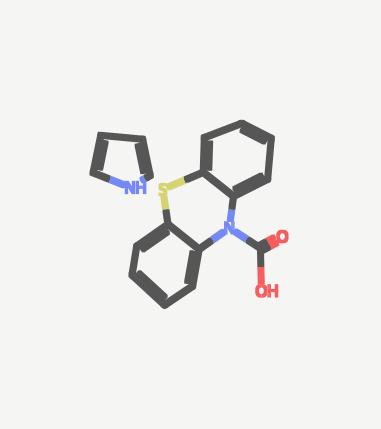 O=C(O)N1c2ccccc2Sc2ccccc21.c1cc[nH]c1